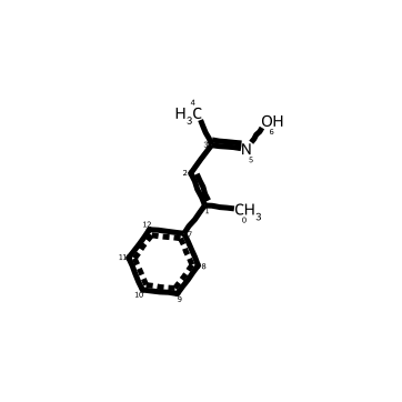 CC(=CC(C)=NO)c1ccccc1